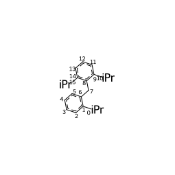 CC(C)c1ccccc1Cc1c(C(C)C)cccc1C(C)C